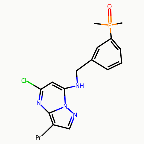 CC(C)c1cnn2c(NCc3cccc(P(C)(C)=O)c3)cc(Cl)nc12